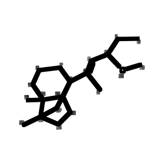 CCC(/C=C(\C)C12CCCC3(C)C1CCC3(C)C2)OC